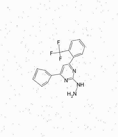 NNc1nc(-c2ccccc2)cc(-c2ccccc2C(F)(F)F)n1